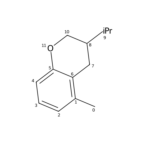 Cc1cccc2c1CC(C(C)C)CO2